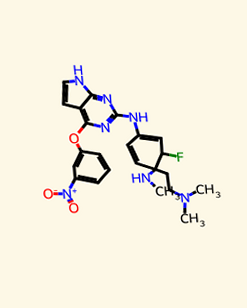 CNC1(CCN(C)C)C=CC(Nc2nc(Oc3cccc([N+](=O)[O-])c3)c3cc[nH]c3n2)=CC1F